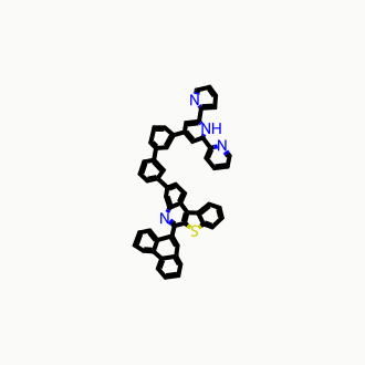 C1=C(c2cccc(-c3cccc(-c4ccc5c(c4)nc(-c4cc6ccccc6c6ccccc46)c4sc6ccccc6c45)c3)c2)C=C(c2ccccn2)NC1c1ccccn1